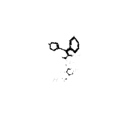 NC[C@H]1CN[C@H](CNC(=O)c2[nH]c3ccccc3c2-c2ccc(F)cc2)[C@@H]1O